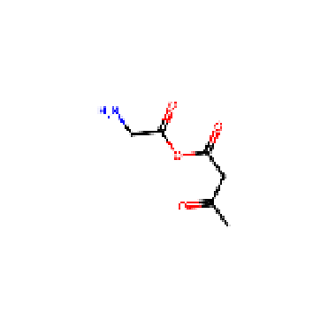 CC(=O)CC(=O)OC(=O)CN